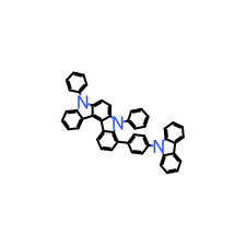 c1ccc(-n2c3ccccc3c3c4c5cccc(-c6ccc(-n7c8ccccc8c8ccccc87)cc6)c5n(-c5ccccc5)c4ccc32)cc1